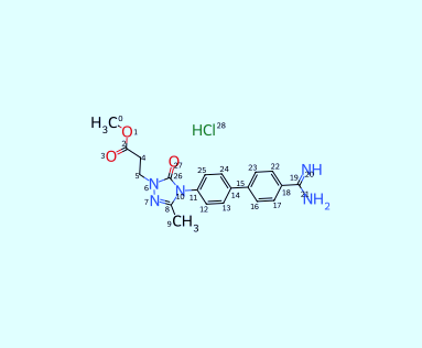 COC(=O)CCn1nc(C)n(-c2ccc(-c3ccc(C(=N)N)cc3)cc2)c1=O.Cl